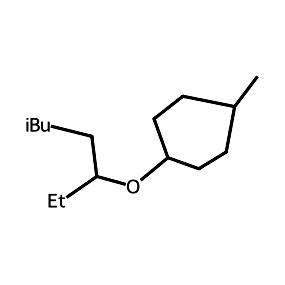 CCC(C)CC(CC)OC1CCC(C)CC1